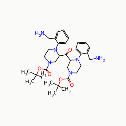 CC(C)(C)OC(=O)N1CCN(c2ccccc2CN)C(C(=O)C2CN(C(=O)OC(C)(C)C)CCN2c2ccccc2CN)C1